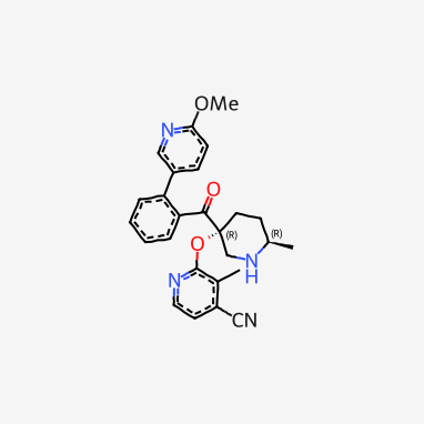 COc1ccc(-c2ccccc2C(=O)[C@@]2(Oc3nccc(C#N)c3C)CC[C@@H](C)NC2)cn1